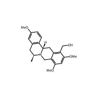 COc1ccc2c(c1)C[C@H](C)N1Cc3c(OC)cc(OC)c(CO)c3C[C@@H]21